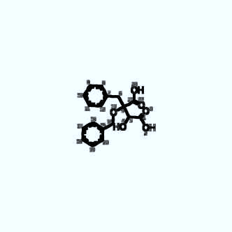 O=C(O)C(O)C(Cc1ccccc1)(OCc1ccccc1)C(=O)O